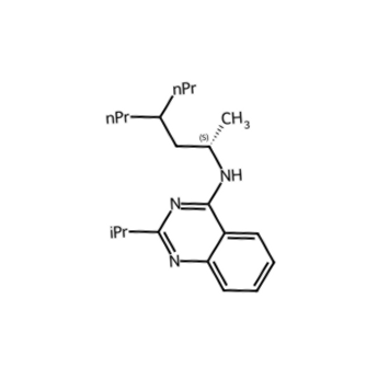 CCCC(CCC)C[C@H](C)Nc1nc(C(C)C)nc2ccccc12